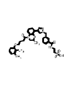 Cc1cccc(OCCCC(=O)N2CC(C)Oc3c(-c4cnn(Cc5cccc(C(=O)NCCS(=O)(=O)O)c5)c4)cccc32)c1C